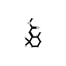 COC(=O)/C=C1\C(C)CCCC1(C)C